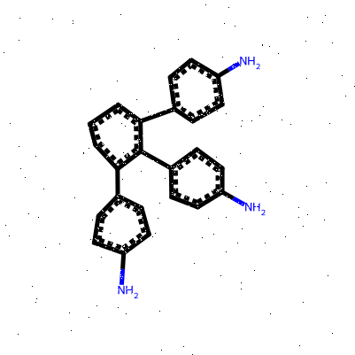 Nc1ccc(-c2cccc(-c3ccc(N)cc3)c2-c2ccc(N)cc2)cc1